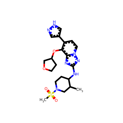 CC1CN(S(C)(=O)=O)CCC1Nc1nc2c(OC3CCOC3)c(-c3cn[nH]c3)ccn2n1